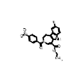 CCOC(=O)C1=CN(C(=O)c2ccc([N+](=O)[O-])cc2)CCc2c1[nH]c1ccc(F)cc21